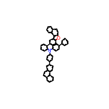 c1ccc(-c2ccc(N(c3ccc(-c4ccc5c(ccc6ccccc65)c4)cc3)c3ccccc3-c3ccc4oc5ccc6ccccc6c5c4c3)cc2)cc1